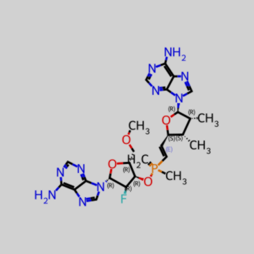 C=P(C)(/C=C/[C@H]1O[C@@H](n2cnc3c(N)ncnc32)[C@H](C)[C@@H]1C)O[C@H]1[C@@H](F)[C@H](n2cnc3c(N)ncnc32)O[C@@H]1COC